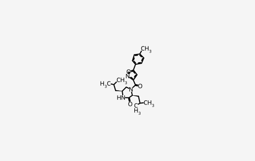 Cc1ccc(-c2cc(C(=O)N3C[C@H](CC(C)C)NC(=O)[C@@H]3CC(C)C)no2)cc1